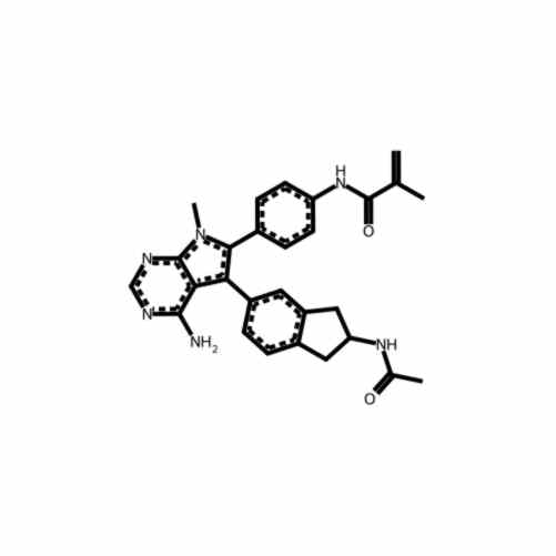 C=C(C)C(=O)Nc1ccc(-c2c(-c3ccc4c(c3)CC(NC(C)=O)C4)c3c(N)ncnc3n2C)cc1